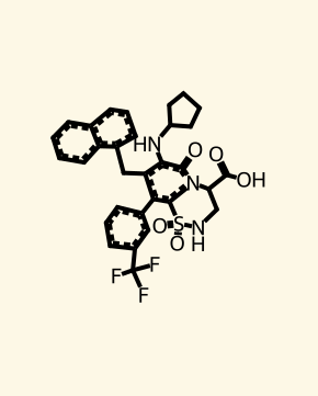 O=C(O)C1CNS(=O)(=O)c2c(-c3cccc(C(F)(F)F)c3)c(Cc3cccc4ccccc34)c(NC3CCCC3)c(=O)n21